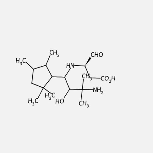 CC1CC(C)(C)C(C(N[C@@H](C=O)CC(=O)O)C(O)C(C)(C)N)C1C